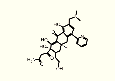 CN(C)Cc1cc(-c2ccccn2)c2c(c1O)C(=O)C1=C(O)[C@](O)(C(=O)CC(N)=O)[C@H](CCO)C[C@@H]1C2